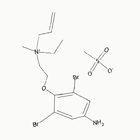 C=CC[N+](C)(CC)CCOc1c(Br)cc(N)cc1Br.CS(=O)(=O)[O-]